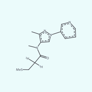 [2H]C([2H])(CSC)C(=O)N(C)c1cn(-c2cccnc2)nc1C